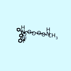 CNCCOCCOCCOCCOCCC(=O)NC(c1ccccc1)c1ccc(-c2ccccc2C(F)(F)F)cc1